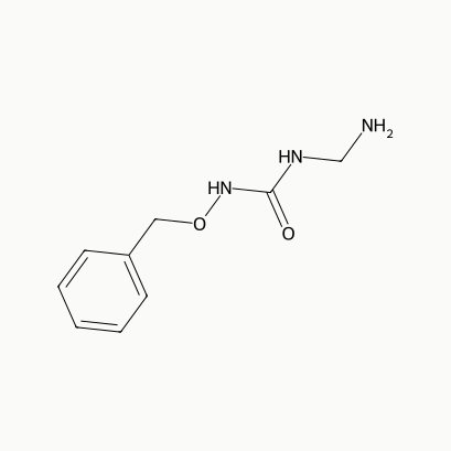 NCNC(=O)NOCc1ccccc1